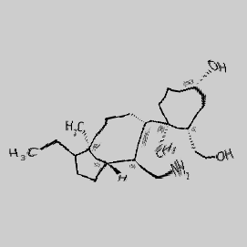 CCC1CC[C@H]2[C@H](CN)[C@@H]([C@@]3(C)CC[C@H](O)C[C@@H]3CO)CC[C@]12C